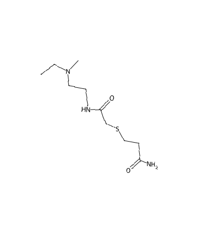 CCN(C)CCNC(=O)CSCCC(N)=O